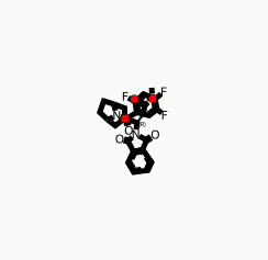 COC(=O)C[C@H](C1CC2CCC(C1)N2C(=O)c1cc(F)c(F)cc1F)N1C(=O)c2ccccc2C1=O